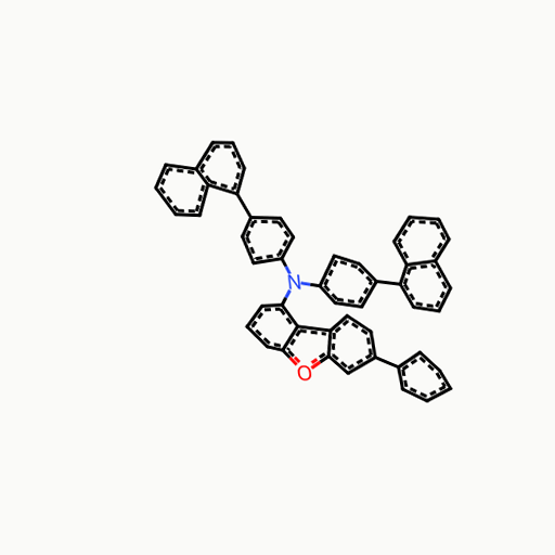 c1ccc(-c2ccc3c(c2)oc2cccc(N(c4ccc(-c5cccc6ccccc56)cc4)c4ccc(-c5cccc6ccccc56)cc4)c23)cc1